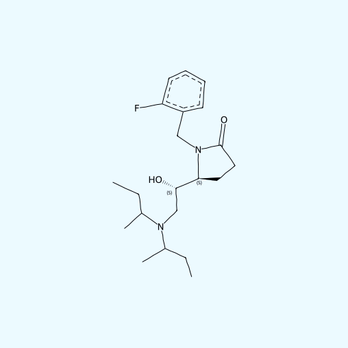 CCC(C)N(C[C@H](O)[C@@H]1CCC(=O)N1Cc1ccccc1F)C(C)CC